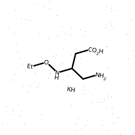 CCONC(CN)CC(=O)O.[KH]